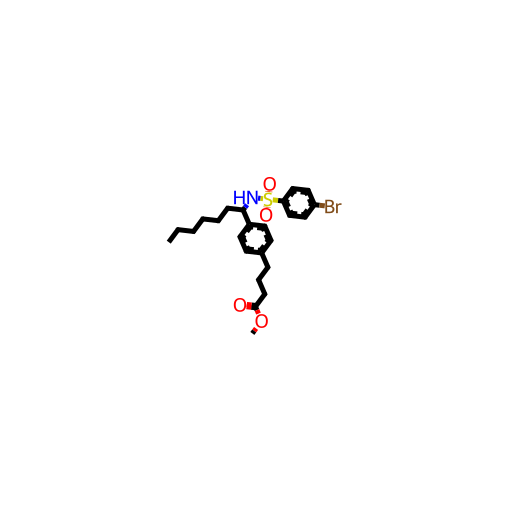 CCCCCCC(NS(=O)(=O)c1ccc(Br)cc1)c1ccc(CCCC(=O)OC)cc1